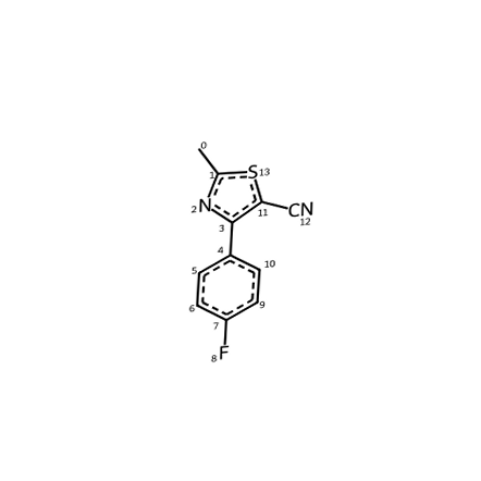 Cc1nc(-c2ccc(F)cc2)c(C#N)s1